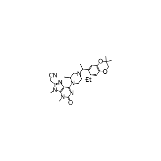 CC[C@@H]1CN(c2nc(=O)n(C)c3c2nc(CC#N)n3C)[C@@H](C)CN1C(C)c1ccc2c(c1)OC(C)(C)CO2